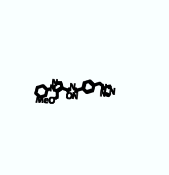 COCc1c(-c2nc(-c3ccc(Cn4cncn4)cc3)no2)cnn1C1CCCCC1